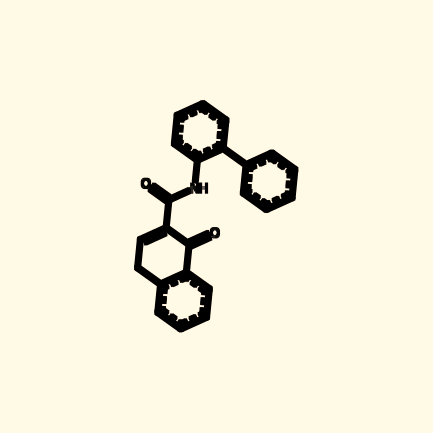 O=C(Nc1ccccc1-c1ccccc1)C1=CCc2ccccc2C1=O